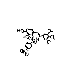 COc1cc(C=Cc2ccc(O)c(OC)c2NS(=O)(=O)c2ccc([N+](=O)[O-])cc2)cc(OC)c1OC